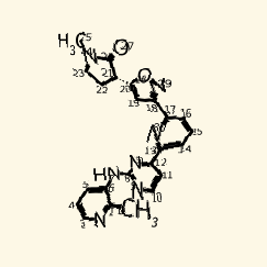 Cc1ncccc1Nc1nccc(-c2cccc(-c3cc([C@@H]4CCN(C)C4=O)on3)n2)n1